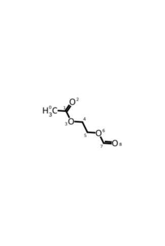 CC(=O)OCCOC=O